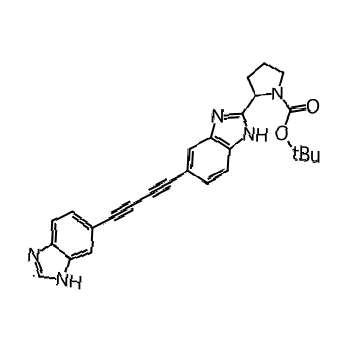 CC(C)(C)OC(=O)N1CCCC1c1nc2cc(C#CC#Cc3ccc4n[c][nH]c4c3)ccc2[nH]1